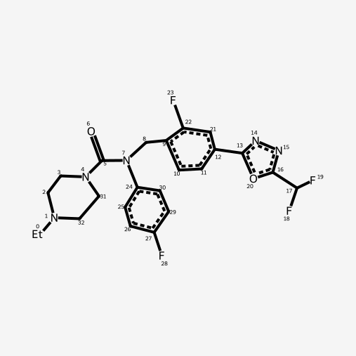 CCN1CCN(C(=O)N(Cc2ccc(-c3nnc(C(F)F)o3)cc2F)c2ccc(F)cc2)CC1